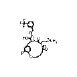 CSCCC1NC(=O)CCCCOc2ccc(cc2F)CC(C(O)CNCc2cccc(C(F)(F)F)c2)NC1=O